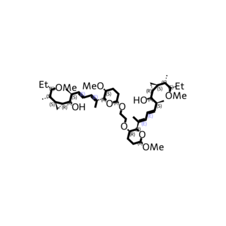 CC[C@H](OC)[C@@H](C)[C@@H]1C[C@H]1[C@H](O)[C@@H](C)/C=C/C=C(\C)[C@H]1O[C@@H](OCCO[C@@H]2CC[C@H](OC)O[C@@H]2/C(C)=C/C=C/[C@H](C)[C@@H](O)[C@@H]2C[C@H]2[C@H](C)[C@H](CC)OC)CC[C@@H]1OC